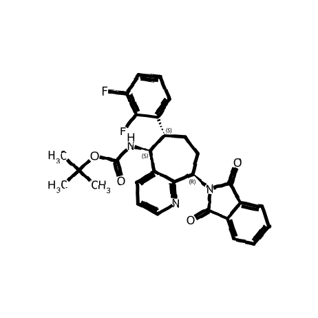 CC(C)(C)OC(=O)N[C@@H]1c2cccnc2[C@H](N2C(=O)c3ccccc3C2=O)CC[C@H]1c1cccc(F)c1F